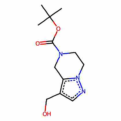 CC(C)(C)OC(=O)N1CCn2ncc(CO)c2C1